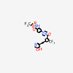 O=C(NS(=O)(=O)CCC(F)(F)F)c1ccc(N2CCN(C(=O)c3cc(C#Cc4cncc(O)c4)cc(C(F)(F)F)c3)CC2)cc1